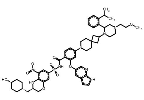 COCCN1CCN(C2CC3(CCN(c4ccc(C(=O)NS(=O)(=O)c5cc6c(c([N+](=O)[O-])c5)N[C@H](C[C@H]5CC[C@H](O)CC5)CO6)c(Oc5cnc6[nH]ccc6c5)c4)CC3)C2)C(c2ccccc2C(C)C)C1